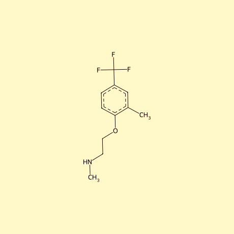 CNCCOc1ccc(C(F)(F)F)cc1C